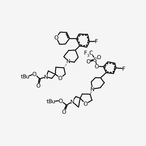 CC(C)(C)OC(=O)N1CC2(C[C@H](N3CCC(c4cc(F)ccc4C4=CCOCC4)CC3)CO2)C1.CC(C)(C)OC(=O)N1CC2(C[C@H](N3CCC(c4cc(F)ccc4OS(=O)(=O)C(F)(F)F)CC3)CO2)C1